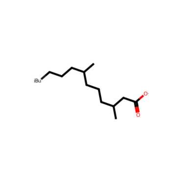 CCC(C)CCCC(C)CCCC(C)CC([O])=O